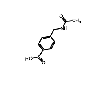 CC(=O)NCc1ccc(S(=O)O)cc1